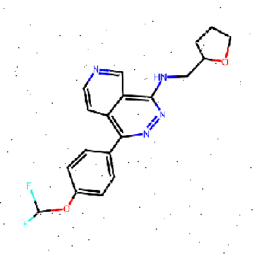 FC(F)Oc1ccc(-c2nnc(NCC3CCCO3)c3cnccc23)cc1